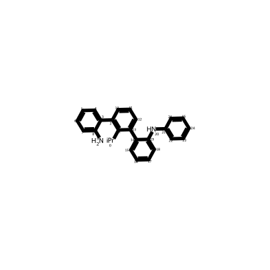 CC(C)c1c(-c2ccccc2N)cccc1-c1ccccc1Nc1ccccc1